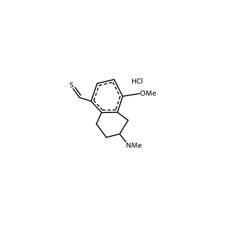 CNC1CCc2c(C=S)ccc(OC)c2C1.Cl